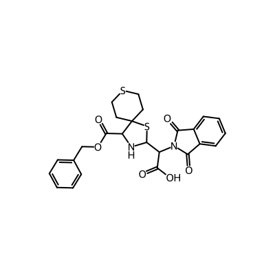 O=C(O)C(C1NC(C(=O)OCc2ccccc2)C2(CCSCC2)S1)N1C(=O)c2ccccc2C1=O